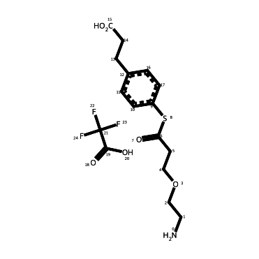 NCCOCCC(=O)Sc1ccc(CCC(=O)O)cc1.O=C(O)C(F)(F)F